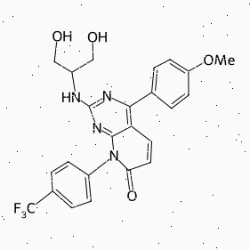 COc1ccc(-c2nc(NC(CO)CO)nc3c2ccc(=O)n3-c2ccc(C(F)(F)F)cc2)cc1